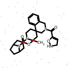 CCOC(=O)N1C2CCC1CC(N1CCC3(CC1)CN(C(=O)C1=CCNO1)Cc1ccccc13)C2